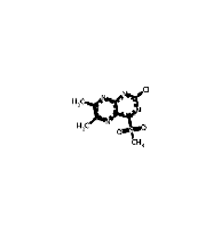 Cc1nc2nc(Cl)nc(S(C)(=O)=O)c2nc1C